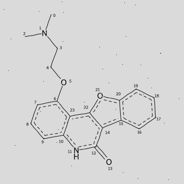 CN(C)CCOc1cccc2[nH]c(=O)c3c4ccccc4oc3c12